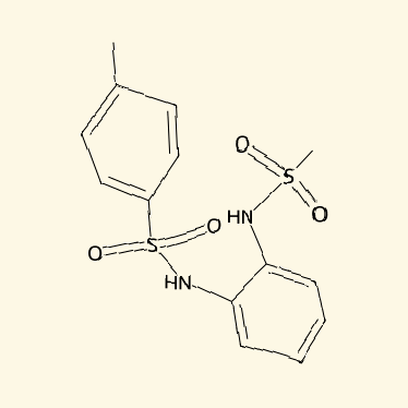 Cc1ccc(S(=O)(=O)Nc2ccccc2NS(C)(=O)=O)cc1